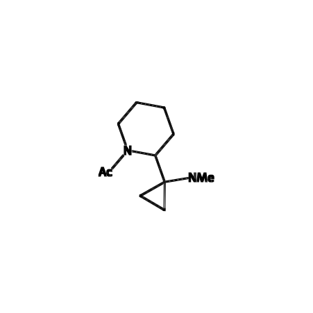 CNC1(C2CCCCN2C(C)=O)CC1